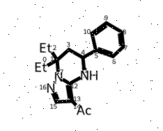 CCC1(CC)CC(c2ccccc2)Nc2c(C(C)=O)cnn21